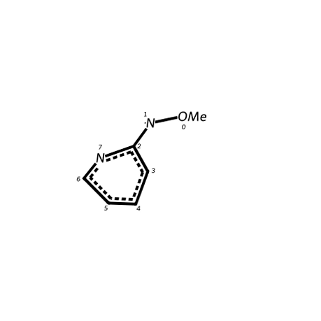 CO[N]c1ccccn1